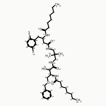 CCCCCCCC(=O)NC(CC(=O)NCC(C)(C)CNC(=O)C(O)C(COCc1ccccc1)NC(=O)CCCCCCC)Cc1cc(F)ccc1F